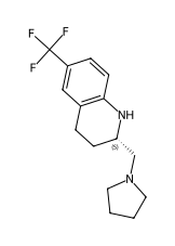 FC(F)(F)c1ccc2c(c1)CC[C@@H](CN1CCCC1)N2